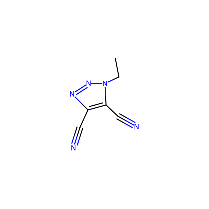 CCn1nnc(C#N)c1C#N